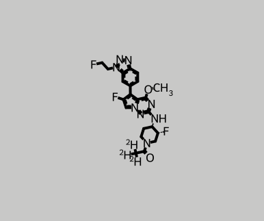 [2H]C([2H])([2H])C(=O)N1CC[C@H](Nc2nc(OC)c3c(-c4ccc5nnn(CCF)c5c4)c(F)cn3n2)[C@H](F)C1